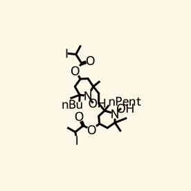 CCCCCC1(CCC2(C)CC(OC(=O)C(C)I)CC(C)(CCCC)N2O)CC(OC(=O)C(C)I)CC(C)(C)N1O